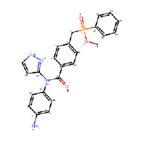 COP(=O)(Cc1ccc(C(=O)N(c2ccc(N)cc2)c2cc[nH]n2)cc1)c1ccccc1